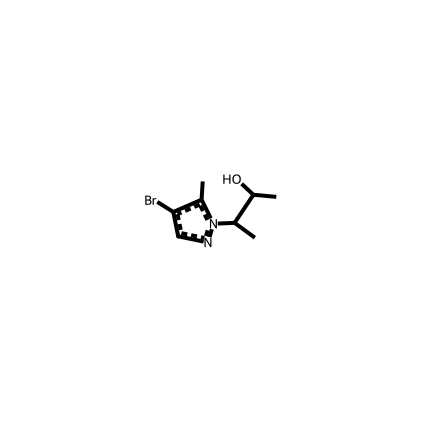 Cc1c(Br)cnn1C(C)C(C)O